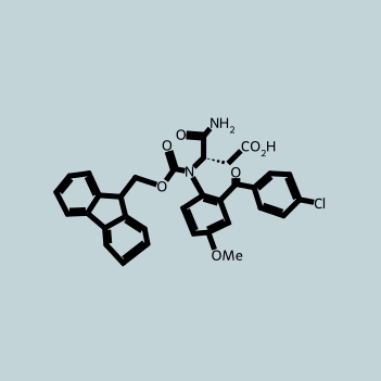 COc1ccc(N(C(=O)OCC2c3ccccc3-c3ccccc32)[C@@H](CC(=O)O)C(N)=O)c(C(=O)c2ccc(Cl)cc2)c1